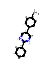 Bc1ccc(-c2cnc(-c3ccccc3)nc2)cc1